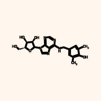 Cc1cc(CNc2ncnc3c2ncn3C2O[C@H](CO)[C@@H](O)[C@H]2O)cc(C)c1O